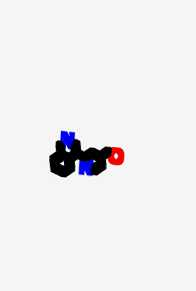 O=Cc1ccnc(-c2cncc3ccccc23)c1